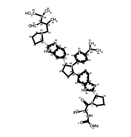 COC(=O)N[C@H](C(=O)N1CCC[C@H]1c1nc2ccc([C@H]3CC[C@H](c4ccc5nc([C@@H]6CCCN6CC(C)[C@@H](C=O)N(C)C(=O)O)[nH]c5c4)N3c3ccc(N(C)C)nc3)cc2[nH]1)C(C)C